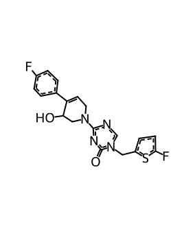 O=c1nc(N2CC=C(c3ccc(F)cc3)C(O)C2)ncn1Cc1ccc(F)s1